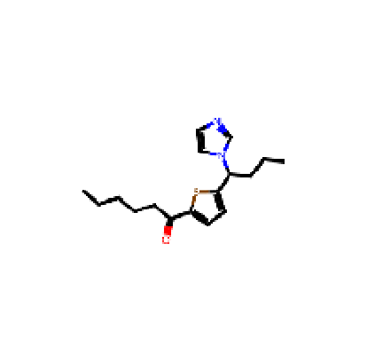 CCCCCC(=O)c1ccc(C(CCC)n2ccnc2)s1